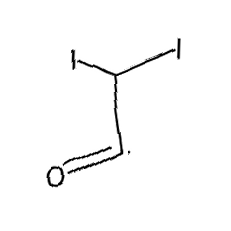 O=[C]C(I)I